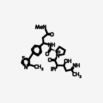 CNC(=O)CC(NC(=O)[C@@H]1CCCN1C(=O)C(C(C)C)C(O)CC(C)=N)c1ccc(-c2scnc2C)cc1